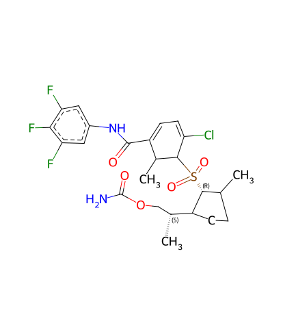 CC1C(C(=O)Nc2cc(F)c(F)c(F)c2)=CC=C(Cl)C1S(=O)(=O)[C@@H]1C(C)CCC1[C@H](C)COC(N)=O